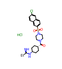 CCC(=N)N[C@H]1CC[C@H](C(=O)N2CCN(S(=O)(=O)c3ccc4cc(Cl)ccc4c3)CC2)CC1.Cl